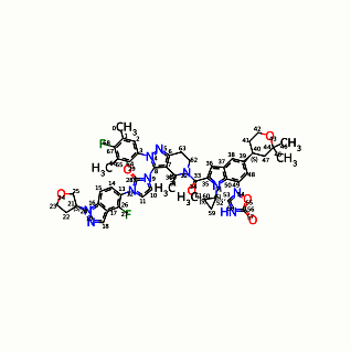 Cc1cc(-n2nc3c(c2-n2ccn(-c4ccc5c(cnn5[C@H]5CCOC5)c4F)c2=O)[C@H](C)N(C(=O)c2cc4cc([C@H]5CCOC(C)(C)C5)ccc4n2[C@@]2(c4noc(=O)[nH]4)C[C@@H]2C)CC3)cc(C)c1F